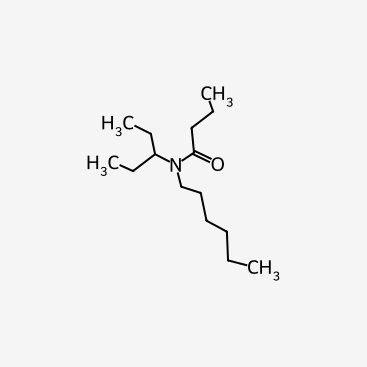 CCCCCCN(C(=O)CCC)C(CC)CC